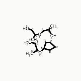 CC(O)COC(C)CO.CCC(C)OC1CCCC1